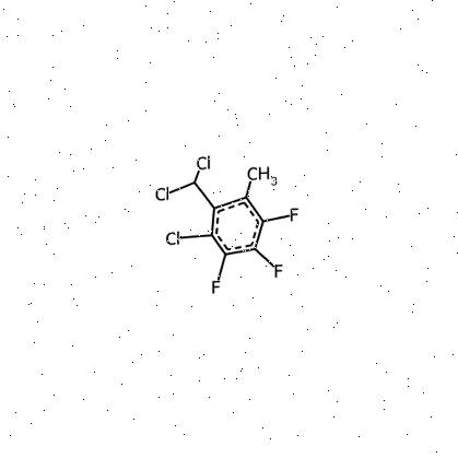 Cc1c(F)c(F)c(F)c(Cl)c1C(Cl)Cl